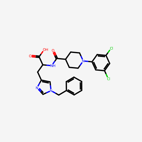 O=C(NC(Cc1cn(Cc2ccccc2)cn1)C(=O)O)C1CCN(c2cc(Cl)cc(Cl)c2)CC1